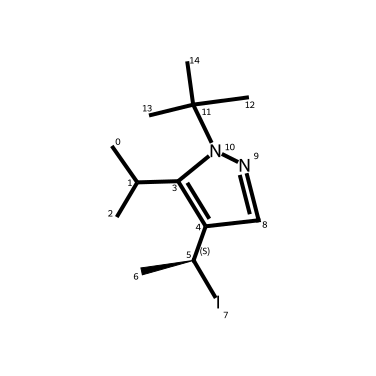 CC(C)c1c([C@H](C)I)cnn1C(C)(C)C